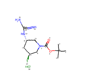 CC(C)(C)OC(=O)N1C[C@@H](F)C[C@H](NC(=N)N)C1.Cl